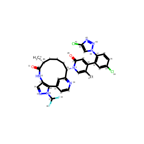 CCc1cn([C@H]2CCC[C@@H](C)C(=O)Nc3cnn(C(F)F)c3-c3ccnc2c3)c(=O)cc1-c1cc(Cl)ccc1-n1cc(Cl)nn1